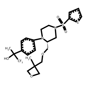 CC1(COC[C@H]2CN(S(=O)(=O)c3cccs3)CCN2c2ccc(C(C)(O)C(F)(F)F)cc2)COC1